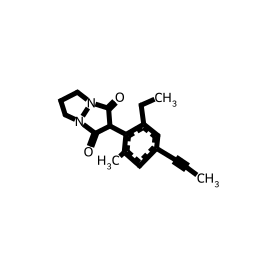 CC#Cc1cc(C)c(C2C(=O)N3CCCN3C2=O)c(CC)c1